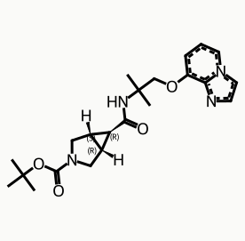 CC(C)(COc1cccn2ccnc12)NC(=O)[C@H]1[C@@H]2CN(C(=O)OC(C)(C)C)C[C@@H]21